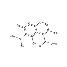 CCCCC(CC)c1c(O)c2c(C(=O)OC)c(O)ccc2oc1=O